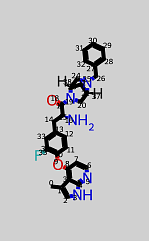 Cc1c[nH]c2nccc(Oc3ccc(C[C@H](N)C(=O)N4C[C@@H]5C[C@H]4CN5Cc4ccccc4)cc3F)c12